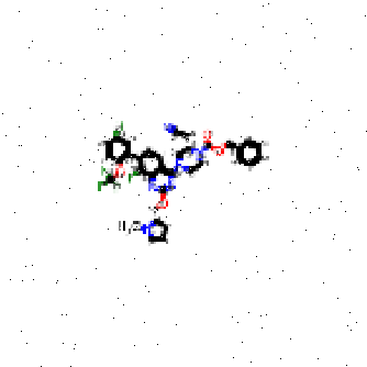 CN1CCC[C@H]1COc1nc(N2CCN(C(=O)OCc3ccccc3)[C@@H](CC#N)C2)c2ccc(-c3cc(Cl)ccc3OC(F)(F)F)c(F)c2n1